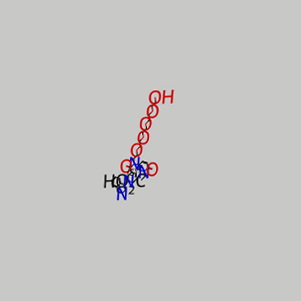 O=C(O)Cn1cc(N(CCOCCOCCOCCOCCO)C(=O)[C@H]2CCCN(c3cncc4ccccc34)C2)ccc1=O